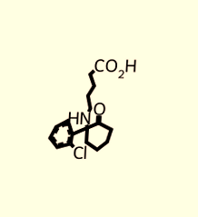 O=C(O)CCCCNC1(c2ccccc2Cl)CCCCC1=O